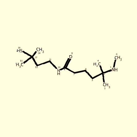 CNC(C)(C)CCCC(=O)NCCC(C)(C)S